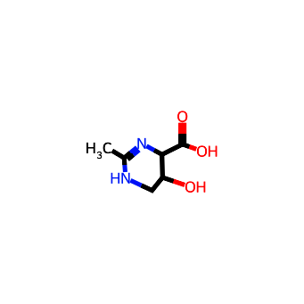 CC1=NC(C(=O)O)C(O)CN1